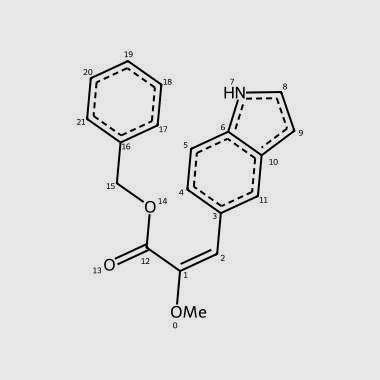 COC(=Cc1ccc2[nH]ccc2c1)C(=O)OCc1ccccc1